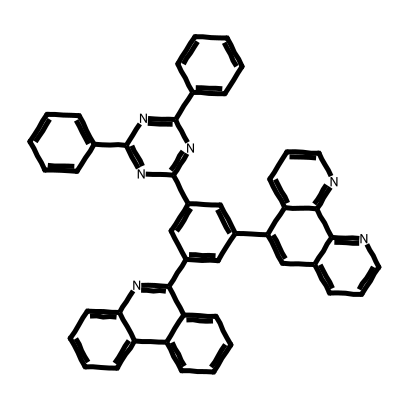 c1ccc(-c2nc(-c3ccccc3)nc(-c3cc(-c4nc5ccccc5c5ccccc45)cc(-c4cc5cccnc5c5ncccc45)c3)n2)cc1